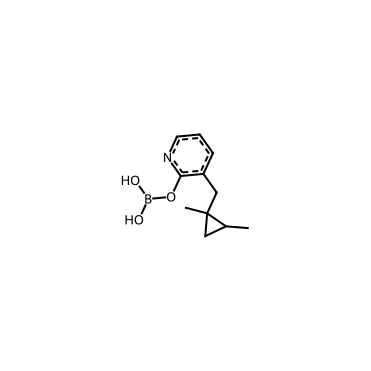 CC1CC1(C)Cc1cccnc1OB(O)O